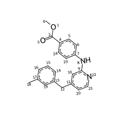 COC(=O)c1ccc(Nc2cc(Cc3cccc(C)c3)ccn2)cc1